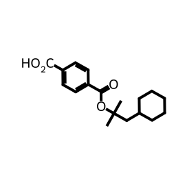 CC(C)(CC1CCCCC1)OC(=O)c1ccc(C(=O)O)cc1